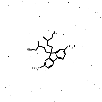 CC(CCC1(CCC(C)CC(C)(C)C)c2cc(C(=O)O)ccc2-c2ccc(C(=O)O)cc21)CC(C)(C)C